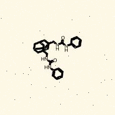 O=C(NCC12CC3CC(C1)CC(CNC(=O)Nc1ccccc1)(C3)C2)Nc1ccccc1